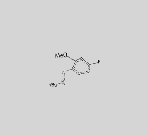 COc1cc(F)ccc1C=NC(C)(C)C